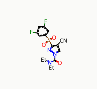 CCN(CC)C(=O)n1cc(C#N)c(S(=O)(=O)c2cc(F)cc(F)c2)n1